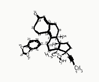 CC#C[C@]1(OO)CC[C@H]2[C@@H]3CCC4=CC(=O)CCC4=C3[C@@H](c3ccc4c(c3)OCO4)C[C@@]21C